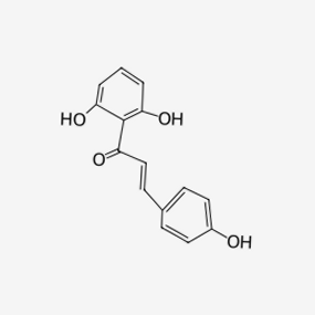 O=C(/C=C/c1ccc(O)cc1)c1c(O)cccc1O